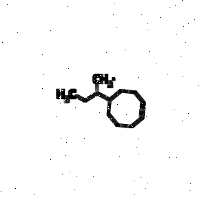 [CH2]C(CC)C1CC/C=C\CCC1